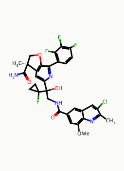 COc1cc(C(=O)NCC(O)(c2cc3c(c(-c4ccc(F)c(F)c4F)n2)OC[C@]3(C)C(N)=O)C2(F)CC2)cc2cc(Cl)c(C)nc12